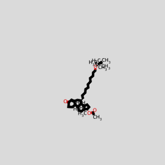 CC(=O)O[C@H]1CC[C@H]2[C@@H]3[C@H](CCCCCCCCCCCO[Si](C)(C)C(C)(C)C)CC4=CC(=O)CC[C@@H]4[C@H]3CC[C@]12C